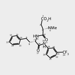 CN[C@@H](CC(=O)O)C(=O)N[C@@H](CCc1ccccc1)C(=O)Nc1cccc(C(F)(F)F)c1